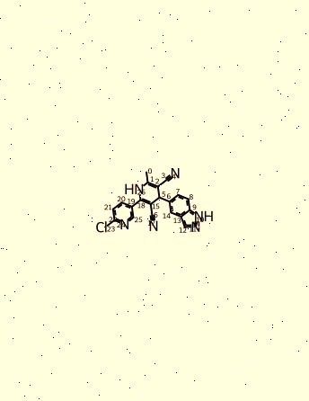 CC1=C(C#N)C(c2ccc3[nH]ncc3c2)C(C#N)=C(c2ccc(Cl)nc2)N1